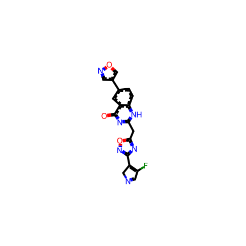 O=c1nc(Cc2nc(C3=C(F)C=NC3)no2)[nH]c2ccc(-c3cnoc3)cc12